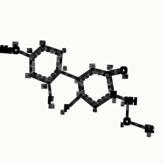 CCONn1cc(F)c(-c2ccc(OC)cc2F)cc1=O